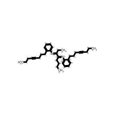 CCCC#CCCCc1ccccc1/N=C(CC)/C(CCCC)=N/c1ccccc1CCCC#CCCC